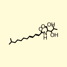 CC(C)CCCCC/C=C/C=C/C(=O)NC(C(=O)O)C(O)C(C)C